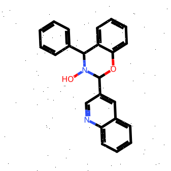 ON1C(c2cnc3ccccc3c2)Oc2ccccc2C1c1ccccc1